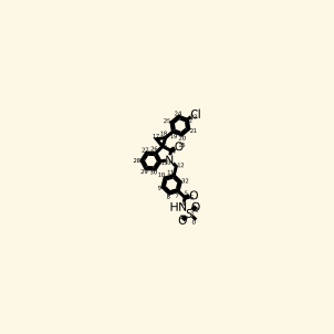 CS(=O)(=O)NC(=O)c1cccc(CN2C(=O)C3(CC3c3ccc(Cl)cc3)c3ccccc32)c1